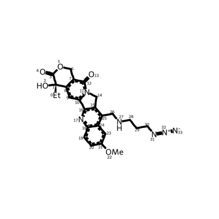 CC[C@@]1(O)C(=O)OCc2c1cc1n(c2=O)Cc2c-1nc1ccc(OC)cc1c2CNCCCN=[N+]=[N-]